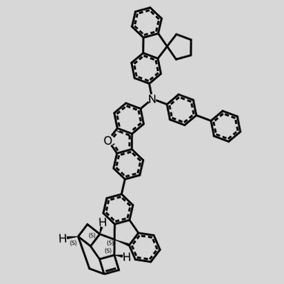 C1=C2C[C@@H]3C[C@H]4C3C2[C@@H]1[C@]41c2ccccc2-c2cc(-c3ccc4c(c3)oc3ccc(N(c5ccc(-c6ccccc6)cc5)c5ccc6c(c5)C5(CCCC5)c5ccccc5-6)cc34)ccc21